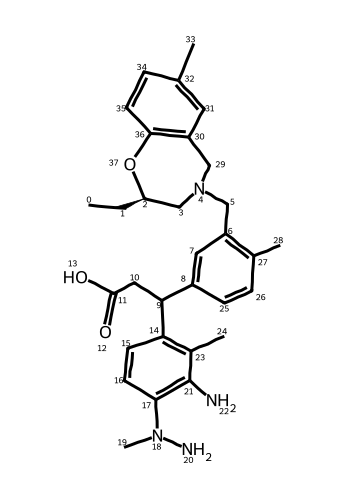 CC[C@@H]1CN(Cc2cc(C(CC(=O)O)c3ccc(N(C)N)c(N)c3C)ccc2C)Cc2cc(C)ccc2O1